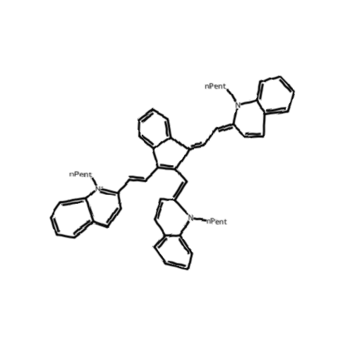 CCCCCN1/C(=C/C=C2C(/C=C3\C=Cc4ccccc4N3CCCCC)=C(/C=C/c3ccc4ccccc4[n+]3CCCCC)c3ccccc3/2)C=Cc2ccccc21